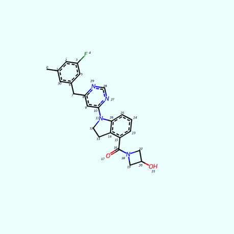 Cc1cc(F)cc(Cc2cc(N3CCc4c(C(=O)N5CC(O)C5)cccc43)ncn2)c1